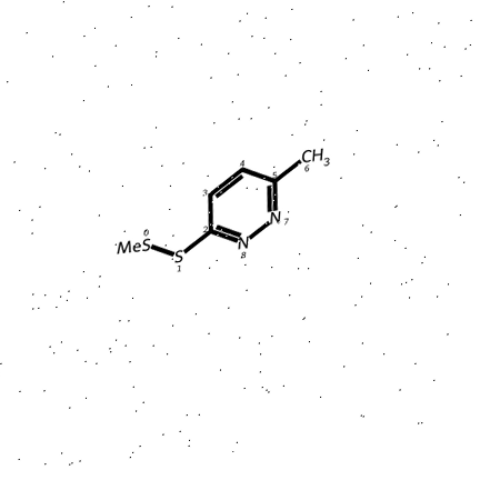 CSSc1ccc(C)nn1